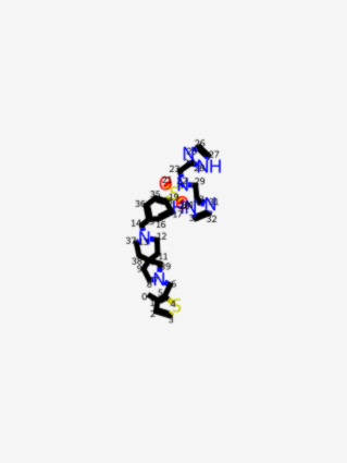 Cc1ccsc1CN1CCC2(CCN(Cc3ccc(S(=O)(=O)N(Cc4ncc[nH]4)Cc4ncc[nH]4)cc3)CC2)C1